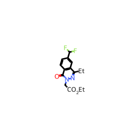 CCOC(=O)Cn1nc(CC)c2cc(C(F)F)ccc2c1=O